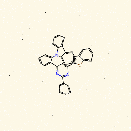 c1ccc(-c2nc(-c3cc4ccccc4s3)cc(-c3ccccc3-n3c4ccccc4c4ccccc43)n2)cc1